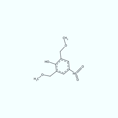 COCc1cc([SH](=O)=O)cc(COC)c1O